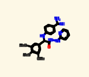 COc1cc(C(Nc2ccc(C(=N)N)cc2)C(=O)NNc2ccccn2)cc(OC)c1OC